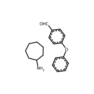 NC1CCCCCC1.O=Cc1ccc(Oc2ccccc2)cc1